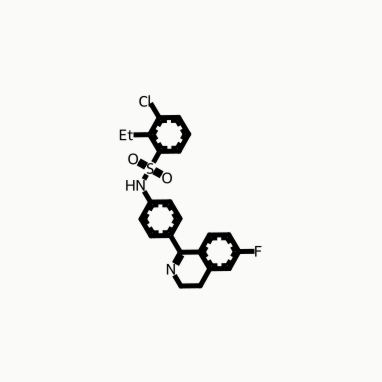 CCc1c(Cl)cccc1S(=O)(=O)Nc1ccc(C2=NCCc3cc(F)ccc32)cc1